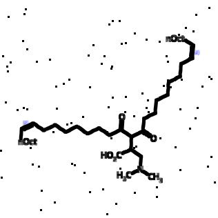 CCCCCCCC/C=C\CCCCCCCC(=O)C(C(=O)CCCCCCC/C=C\CCCCCCCC)C(CN(C)C)C(=O)O